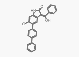 O=C1Nc2cc(Cl)c(-c3ccc(-c4ccccc4)cc3)cc2C1=C(O)c1ccccc1